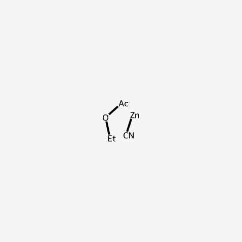 CCOC(C)=O.N#[C][Zn]